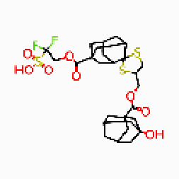 O=C(OCC(F)(F)S(=O)(=O)O)C12CC3CC(C1)C1(SCC(COC(=O)C45CC6CC(CC(O)(C6)C4)C5)S1)C(C3)C2